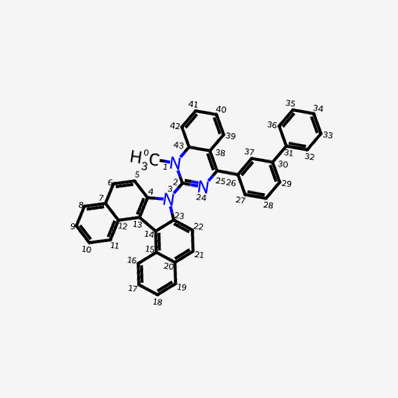 CN1C(n2c3ccc4ccccc4c3c3c4ccccc4ccc32)=NC(c2cccc(-c3ccccc3)c2)=C2C=CC=CC21